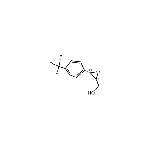 OC[C@@H]1O[C@H]1c1ccc(C(F)(F)F)cc1